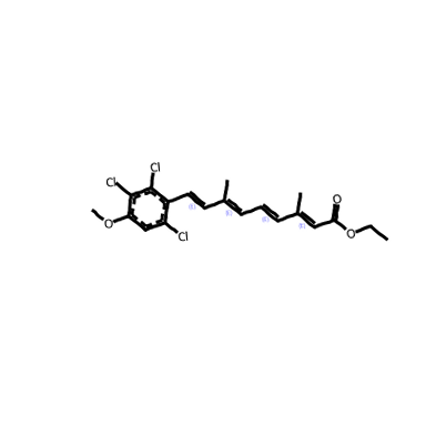 CCOC(=O)/C=C(C)/C=C/C=C(C)/C=C/c1c(Cl)cc(OC)c(Cl)c1Cl